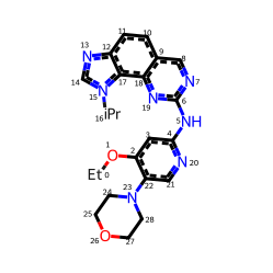 CCOc1cc(Nc2ncc3ccc4ncn(C(C)C)c4c3n2)ncc1N1CCOCC1